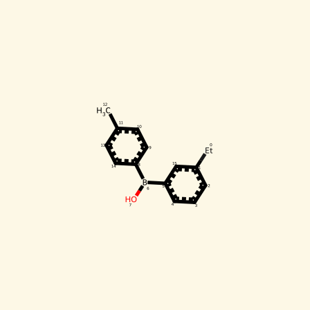 CCc1cccc(B(O)c2ccc(C)cc2)c1